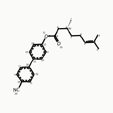 CC(C)=CCC[C@@H](C)CC(=O)Oc1ccc(-c2ccc(C#N)cc2)cc1